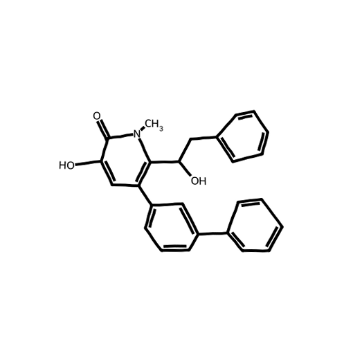 Cn1c(C(O)Cc2ccccc2)c(-c2cccc(-c3ccccc3)c2)cc(O)c1=O